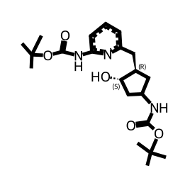 CC(C)(C)OC(=O)Nc1cccc(C[C@H]2CC(NC(=O)OC(C)(C)C)C[C@@H]2O)n1